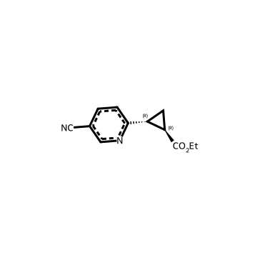 CCOC(=O)[C@@H]1C[C@H]1c1ccc(C#N)cn1